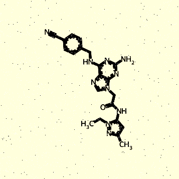 CCn1nc(C)cc1NC(=O)Cn1cnc2c(NCc3ccc(C#N)cc3)nc(N)nc21